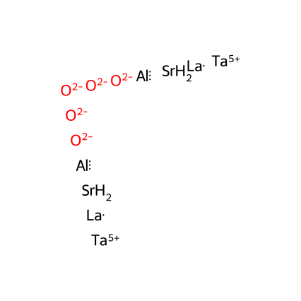 [Al].[Al].[La].[La].[O-2].[O-2].[O-2].[O-2].[O-2].[SrH2].[SrH2].[Ta+5].[Ta+5]